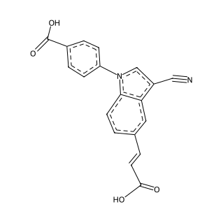 N#Cc1cn(-c2ccc(C(=O)O)cc2)c2ccc(C=CC(=O)O)cc12